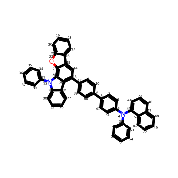 c1ccc(N(c2ccc(-c3ccc(-c4cc5c6ccccc6oc5c5c4c4ccccc4n5-c4ccccc4)cc3)cc2)c2cccc3ccccc23)cc1